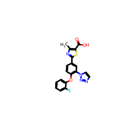 Cc1nc(-c2ccc(Oc3ccccc3F)c(-n3ccnn3)c2)sc1C(=O)O